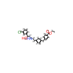 CCOC(=O)c1ccc(Cc2ccc(CCNCC(O)c3cccc(Cl)c3)cc2)cc1